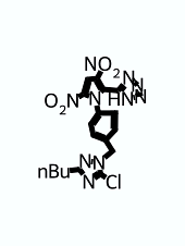 CCCCc1nc(Cl)n(Cc2ccc(-n3c([N+](=O)[O-])cc([N+](=O)[O-])c3-c3nnn[nH]3)cc2)n1